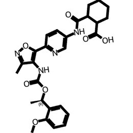 COc1ccccc1[C@@H](C)OC(=O)Nc1c(C)noc1-c1ccc(NC(=O)C2CCCCC2C(=O)O)cn1